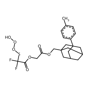 Cc1ccc(C23CC4CC(CC(COC(=O)COC(=O)C(F)(F)SOOO)(C4)C2)C3)cc1